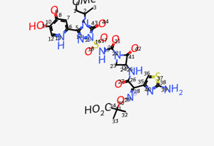 COCC(C)n1c(-c2cc(=O)c(O)c[nH]2)nn(S(=O)(=O)NC(=O)N2C[C@H](NC(=O)/C(=N\OC(C)(C)C(=O)O)c3csc(N)n3)C2=O)c1=O